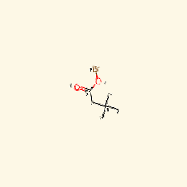 CC(C)(C)CC(=O)OBr